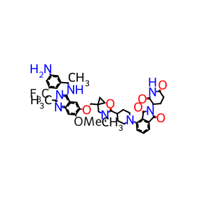 COc1cc2nc(C)nc(N[C@H](C)c3cc(N)cc(C(F)(F)F)c3)c2cc1OCC1(CN(C)C(=O)C2CCN(c3cccc4c3C(=O)N(C3CCC(=O)NC3=O)C4=O)CC2)CC1